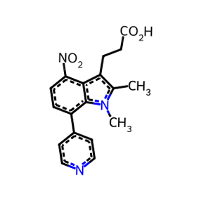 Cc1c(CCC(=O)O)c2c([N+](=O)[O-])ccc(-c3ccncc3)c2n1C